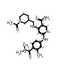 CC(=O)N1CCCC(CNc2cc(Nc3ccc(C(=O)N(C)C)c(C)c3)ncc2C(N)=O)C1